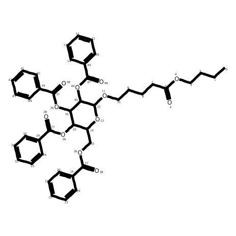 CCCCOC(=O)CCCCOC1OC(COC(=O)c2ccccc2)C(OC(=O)c2ccccc2)C(OC(=O)c2ccccc2)C1OC(=O)c1ccccc1